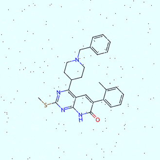 CSc1nc(C2CCN(Cc3ccccc3)CC2)c2cc(-c3ccccc3C)c(=O)[nH]c2n1